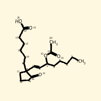 CCCCCC(C=CC1(CCCCCC(=O)O)CCCC1=O)OC(C)=O